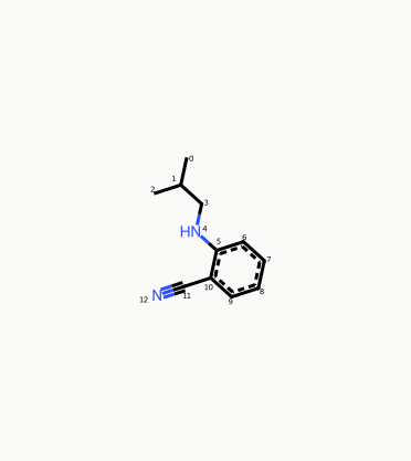 CC(C)CNc1ccccc1C#N